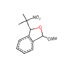 COC1OC(C(C)(C)[N+](=O)[O-])c2ccccc21